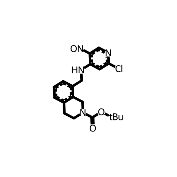 CC(C)(C)OC(=O)N1CCc2cccc(CNc3cc(Cl)ncc3N=O)c2C1